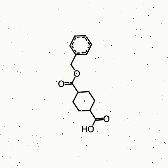 O=C(O)C1CCC(C(=O)OCc2ccccc2)CC1